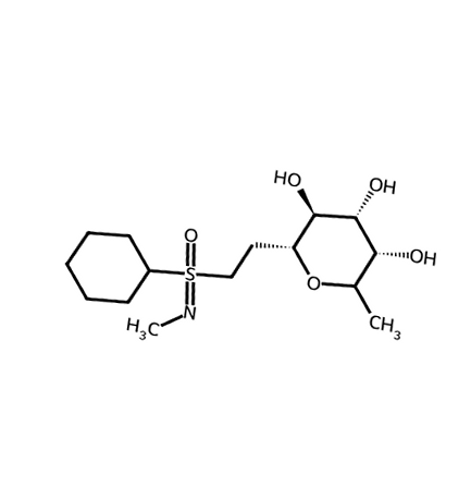 CN=S(=O)(CC[C@H]1OC(C)[C@@H](O)[C@@H](O)[C@@H]1O)C1CCCCC1